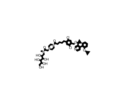 CN(CC(O)C(O)C(O)C(O)CO)C(=O)CN1CCN(C(=O)CCCCc2cc(Cl)c(COC3(c4cnccc4-c4ccccc4OC4CC4)CC3)cc2Cl)CC1